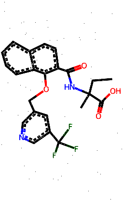 CCC(C)(NC(=O)c1ccc2ccccc2c1OCc1cncc(C(F)(F)F)c1)C(=O)O